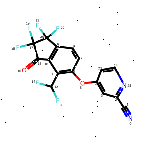 N#Cc1cc(Oc2ccc3c(c2C(F)F)C(=O)C(F)(F)C3(F)F)ccn1